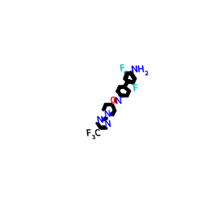 Nc1cc(F)c(C2CCC(=NOC3CCN(c4ncc(C(F)(F)F)cn4)CC3)CC2)cc1F